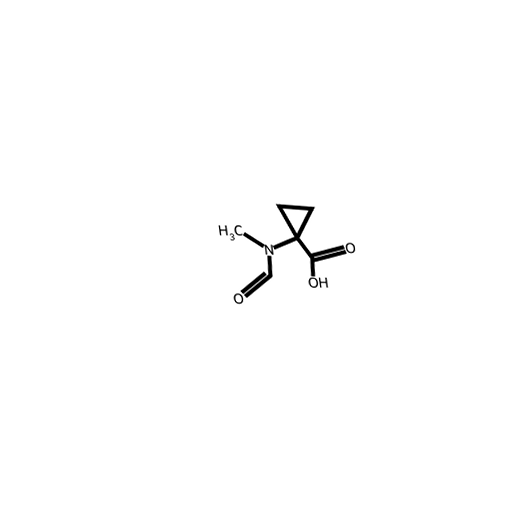 CN(C=O)C1(C(=O)O)CC1